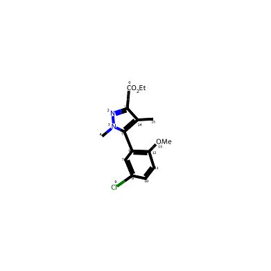 CCOC(=O)c1nn(C)c(-c2cc(Cl)ccc2OC)c1C